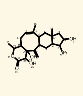 C=C1C2CC3C(C(C)C)C(O)CC3(C)CC2/C(C)=C\CC2C(C)OC(=O)C(O)C12O